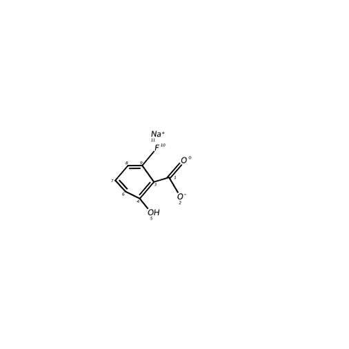 O=C([O-])c1c(O)cccc1F.[Na+]